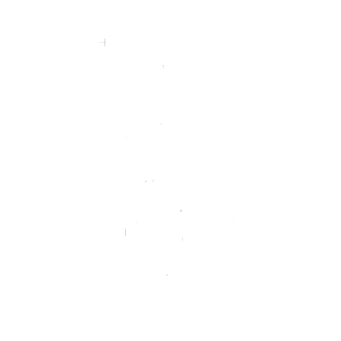 CC[Si](C)(OCc1ccc(O)cc1)c1ccccc1